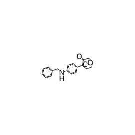 O=C1CC2CCC1(c1ccc(NCc3ccccc3)cc1)CC2